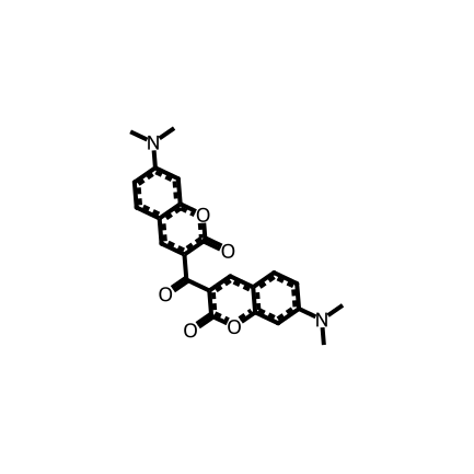 CN(C)c1ccc2cc(C(=O)c3cc4ccc(N(C)C)cc4oc3=O)c(=O)oc2c1